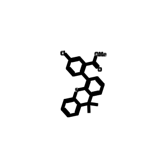 COC(=O)c1cc(Cl)ccc1-c1cccc2c1Sc1ccccc1C2(C)C